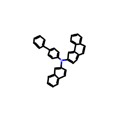 c1ccc(-c2ccc(N(c3ccc4ccccc4c3)c3ccc4ccc5ccccc5c4c3)cc2)cc1